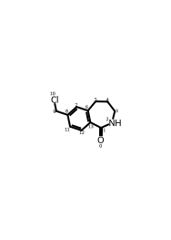 O=C1NCCCc2cc(CCl)ccc21